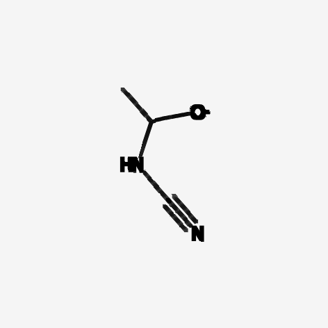 CC([O])NC#N